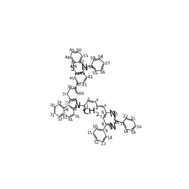 C=C(/C=C\C=C\c1cc(-c2ccccc2)nc(-c2ccccc2)n1)n1c2c(c3c4ccccc4ccc31)CCC(c1ccc3c(c1)Sc1ccccc1N3c1ccccc1)=C2